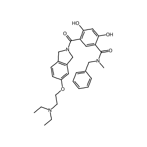 CCN(CC)CCOc1ccc2c(c1)CN(C(=O)c1cc(C(=O)N(C)Cc3ccccc3)c(O)cc1O)C2